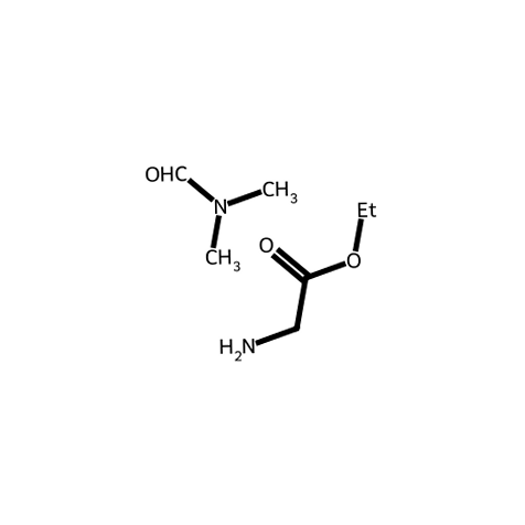 CCOC(=O)CN.CN(C)C=O